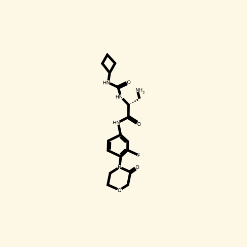 NC[C@@H](NC(=O)NC1CCC1)C(=O)Nc1ccc(N2CCOCC2=O)c(F)c1